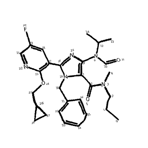 CCCN(C)C(=O)c1c(N(C=O)C(C)C)nc(-c2cc(F)cnc2OCC2CC2)n1Cc1ccccc1